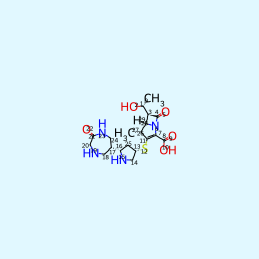 C[C@@H](O)[C@H]1C(=O)N2C(C(=O)O)=C(S[C@@H]3CN[C@H](C4CNCC(=O)NC4)C3)[C@H](C)[C@H]12